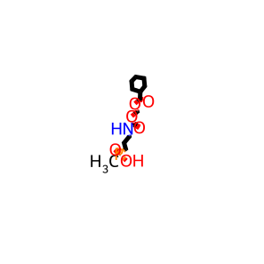 CP(=O)(O)CCCNC(=O)OCOC(=O)C1CCCCC1